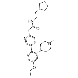 CCOc1ccc(-c2ccc(CC(=O)NCCC3CCCC3)nc2)c(N2CCN(C)CC2)c1